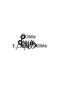 COc1cc(-c2ccc(C(F)(F)F)c(C)c2NC(=O)N=S(N)(=O)c2cnn3c2OC[C@@H](OC)C3)ccn1